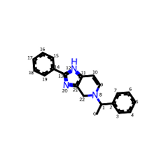 CC(c1ccccc1)N1C=Cc2[nH]c(-c3ccccc3)nc2C1